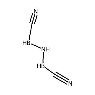 N#CBNBC#N